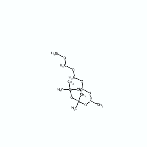 C[SiH](O[SiH2]O[SiH2]O[SiH2]O[SiH3])O[Si](C)(C)O[Si](C)(C)C